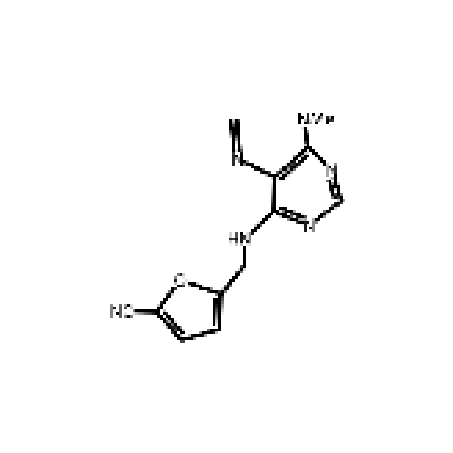 C=Nc1c(NC)ncnc1NCc1ccc(C#N)o1